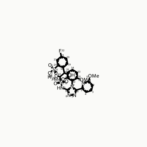 COc1cccc(-c2nnc(NS(=O)(=O)C(C)C(O)c3ccc(F)cc3S(C)(=O)=O)n2-c2c(OC)cccc2OC)n1